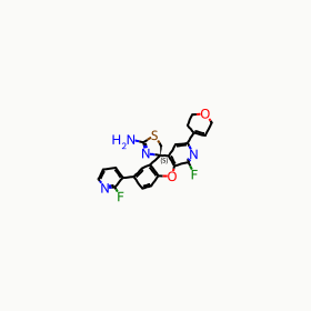 NC1=N[C@@]2(CS1)c1cc(-c3cccnc3F)ccc1Oc1c2cc(C2=CCOCC2)nc1F